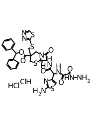 Cl.Cl.NNC(=O)C(=O)NC(C(=O)NC1C(=O)N2CC(CSc3nncs3)(C(=O)OC(c3ccccc3)c3ccccc3)CS[C@H]12)c1csc(N)n1